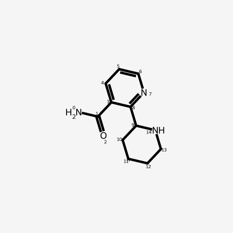 NC(=O)c1cccnc1C1C[C]CCN1